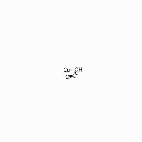 O=[C-]O.[Cu+]